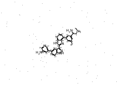 CN(C)CC(N)c1cc(F)cc(-c2ccnc3[nH]c(-c4n[nH]c5cnc(-c6cncc(N)c6)cc45)nc23)c1